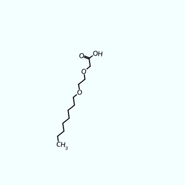 CCCCCCCCOCCOCC(=O)O